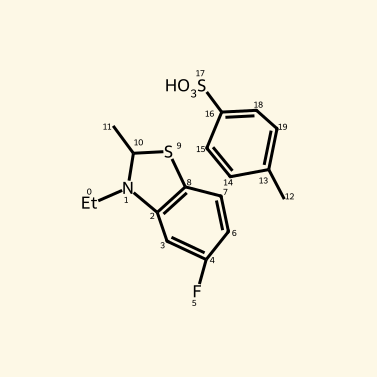 CCN1c2cc(F)ccc2SC1C.Cc1ccc(S(=O)(=O)O)cc1